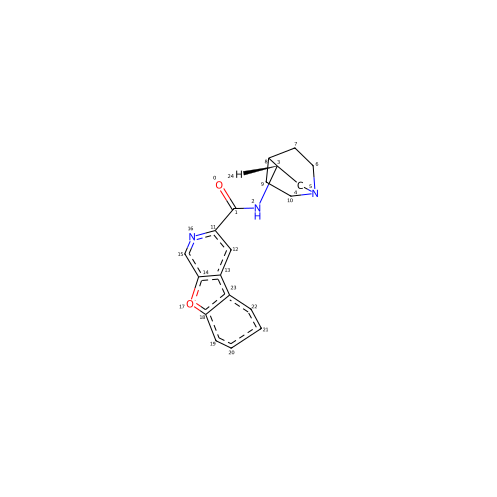 O=C(N[C@H]1CN2CCC1CC2)c1cc2c(cn1)oc1ccccc12